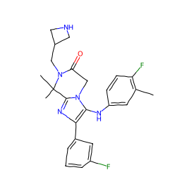 Cc1cc(Nc2c(-c3cccc(F)c3)nc3n2CC(=O)N(CC2CNC2)C3(C)C)ccc1F